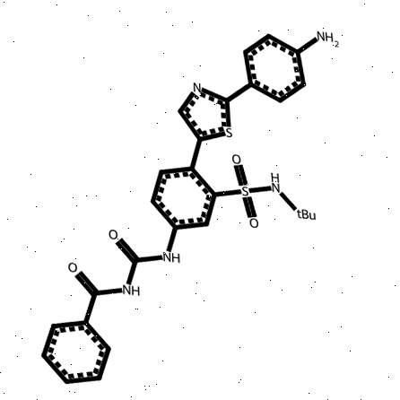 CC(C)(C)NS(=O)(=O)c1cc(NC(=O)NC(=O)c2ccccc2)ccc1-c1cnc(-c2ccc(N)cc2)s1